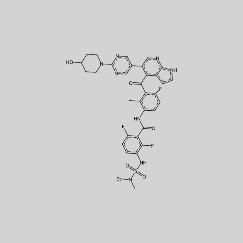 CCN(C)S(=O)(=O)Nc1ccc(F)c(C(=O)Nc2ccc(F)c(C(=O)c3c(-c4cnc(N5CCC(O)CC5)nc4)cnc4[nH]ccc34)c2F)c1F